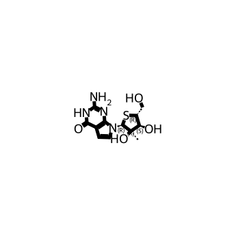 C[C@@]1(O)[C@H](O)[C@@H](CO)S[C@H]1n1ccc2c(=O)[nH]c(N)nc21